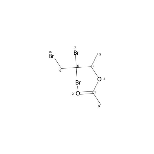 CC(=O)OC(C)C(Br)(Br)CBr